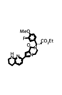 CCOC(=O)C[C@@H](c1ccc(OC)c(F)c1)N1CCn2cc(-c3ccc4c(n3)NCCC4)cc2C1=O